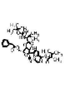 CC(C)[C@H](C)C(=O)Nc1ncnn2c([C@]3(C#N)O[C@H](COC(=O)Cc4ccccc4)[C@@H](OC(=O)[C@@H](NC(=O)OC(C)(C)C)C(C)(C)C)[C@H]3O)ccc12